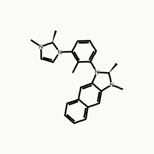 Cc1c(N2C=CN(C)[C@H]2C)cccc1N1c2cc3ccccc3cc2N(C)[C@@H]1C